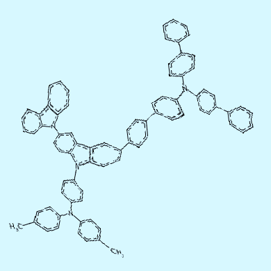 Cc1ccc(N(c2ccc(C)cc2)c2ccc(-n3c4ccc(-c5ccc(-c6ccc(N(c7ccc(-c8ccccc8)cc7)c7ccc(-c8ccccc8)cc7)cc6)cc5)cc4c4cc(-n5c6ccccc6c6ccccc65)ccc43)cc2)cc1